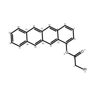 CC(C)CC(=O)Oc1cccc2cc3cc4ccccc4cc3cc12